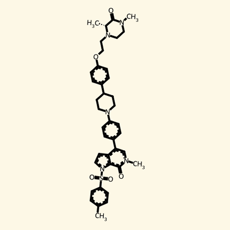 Cc1ccc(S(=O)(=O)n2ccc3c(-c4ccc(N5CCC(c6ccc(OCCN7CCN(C)C(=O)[C@H]7C)cc6)CC5)cc4)cn(C)c(=O)c32)cc1